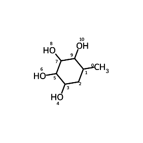 CC1CC(O)C(O)C(O)C1O